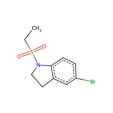 CCS(=O)(=O)N1CCc2cc(Br)ccc21